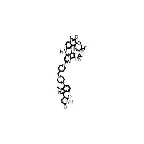 Cn1nc(C2CCC(=O)NC2=O)c2cccc(N3CCN(CC4CCN(c5cc(Nc6ccc7c(c6)c6c(c(=O)n7C)OCC(F)(F)[C@H](C7CC7)N6)n6ncc(C#N)c6n5)CC4)CC3)c21